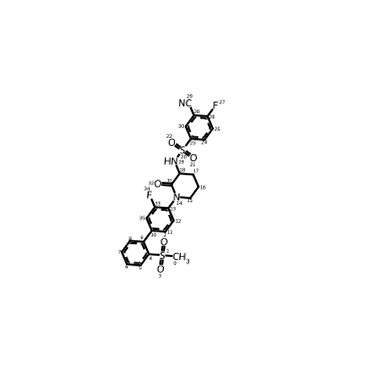 CS(=O)(=O)c1ccccc1-c1ccc(N2CCCC(NS(=O)(=O)c3ccc(F)c(C#N)c3)C2=O)c(F)c1